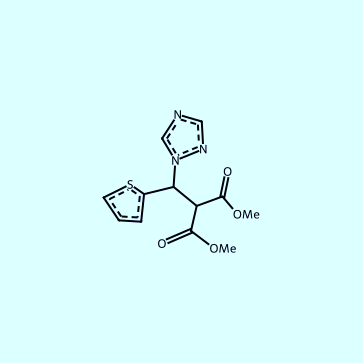 COC(=O)C(C(=O)OC)C(c1cccs1)n1cncn1